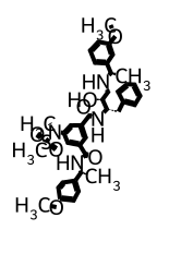 COc1ccc([C@@H](C)NC(=O)c2cc(C(=O)N[C@@H](Cc3ccccc3)[C@H](O)CN[C@H](C)c3cccc(OC)c3)cc(N(C)S(C)(=O)=O)c2)cc1